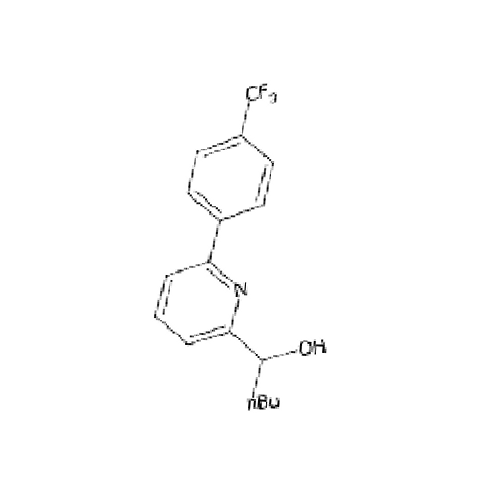 CCCCC(O)c1cccc(-c2ccc(C(F)(F)F)cc2)n1